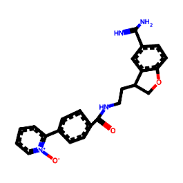 N=C(N)c1ccc2c(c1)C(CCNC(=O)c1ccc(-c3cccc[n+]3[O-])cc1)CO2